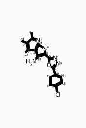 Cc1nc2sc(-c3nnc(-c4ccc(Cl)cc4)o3)c(N)c2c(C)c1C